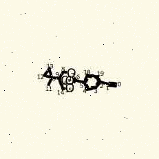 C#Cc1ccc(C23OCC(C4(C)CC4)(CO2)CO3)cc1